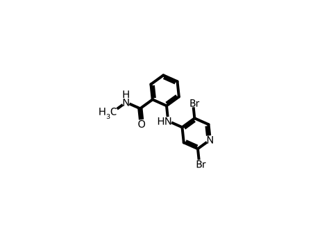 CNC(=O)c1ccccc1Nc1cc(Br)ncc1Br